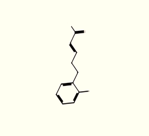 Cc1ccccc1CC/C=C/C(=O)O